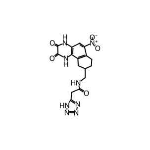 O=C(Cc1nnn[nH]1)NCC1CCc2c([N+](=O)[O-])cc3[nH]c(=O)c(=O)[nH]c3c2C1